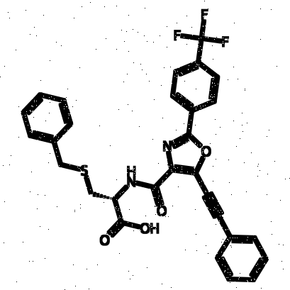 O=C(N[C@@H](CSCc1ccccc1)C(=O)O)c1nc(-c2ccc(C(F)(F)F)cc2)oc1C#Cc1ccccc1